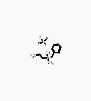 C=CC[N+](C)(C)Cc1ccccc1.F[B-](F)(F)F